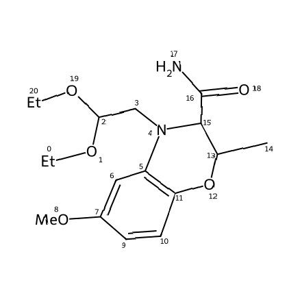 CCOC(CN1c2cc(OC)ccc2OC(C)C1C(N)=O)OCC